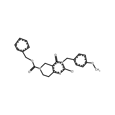 COc1ccc(Cn2c(Cl)nc3c(c2=O)CN(C(=O)OCc2ccccc2)CC3)cc1